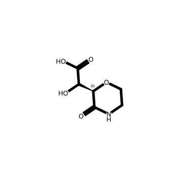 O=C(O)C(O)[C@H]1OCCNC1=O